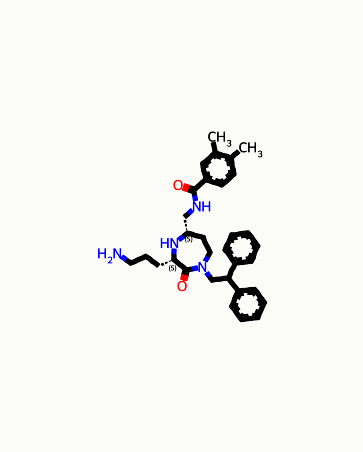 Cc1ccc(C(=O)NC[C@@H]2CCN(CC(c3ccccc3)c3ccccc3)C(=O)[C@H](CCCN)N2)cc1C